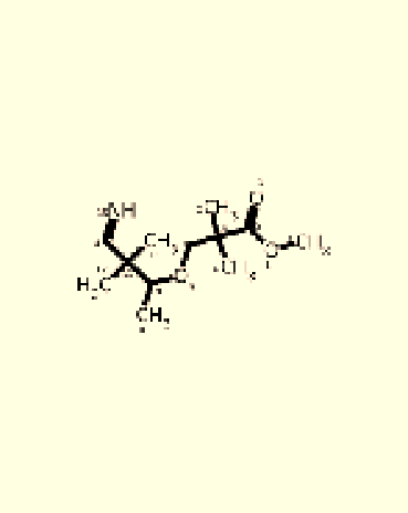 COC(=O)C(C)(C)COC(C)C(C)(C)C=N